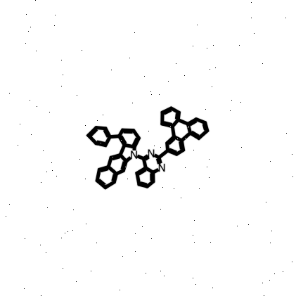 c1ccc(-c2cccc3c2c2cc4ccccc4cc2n3-c2nc(-c3ccc4c5ccccc5c5ccccc5c4c3)nc3ccccc23)cc1